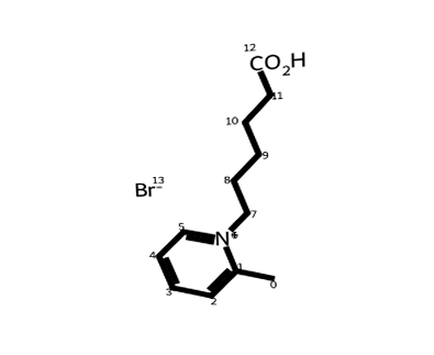 Cc1cccc[n+]1CCCCCC(=O)O.[Br-]